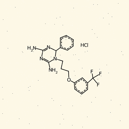 Cl.NC1=NC(c2ccccc2)N(CCCOc2cccc(C(F)(F)F)c2)C(N)=N1